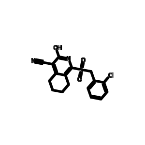 N#Cc1c(O)nc(S(=O)(=O)Cc2ccccc2Cl)c2c1CCCC2